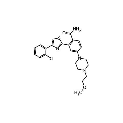 COCCN1CCN(c2ccc(C(N)=O)c(-c3nc(-c4ccccc4Cl)cs3)c2)CC1